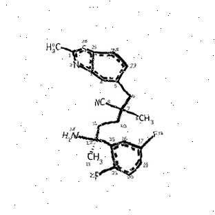 Cc1nc2cc(CC(C)(C#N)CC[C@](C)(N)c3cc(F)ccc3F)ccc2s1